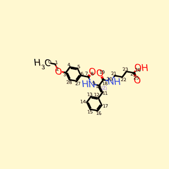 CCOc1ccc(C(=O)N/C(=C\c2ccccc2)C(=O)NCCCC(=O)O)cc1